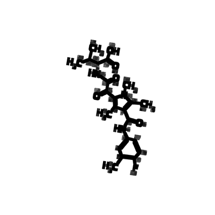 Cc1cc(NC(=O)c2c(C)c(C(=O)C(=O)N[C@@H](C(=O)O)C(C)C)n(C)c2C)ccc1F